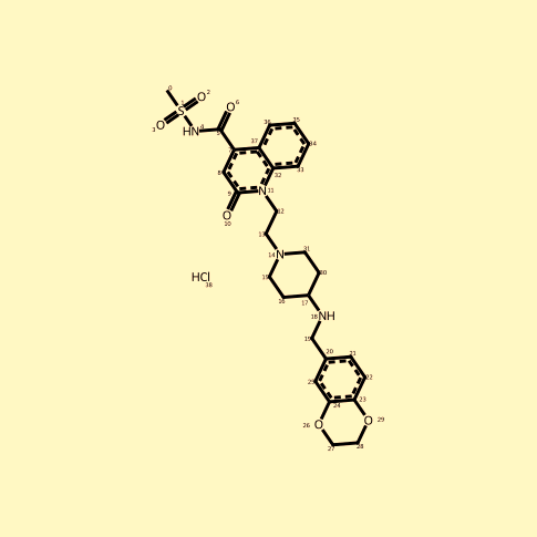 CS(=O)(=O)NC(=O)c1cc(=O)n(CCN2CCC(NCc3ccc4c(c3)OCCO4)CC2)c2ccccc12.Cl